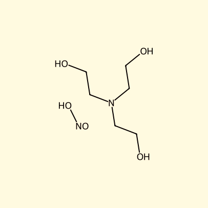 O=NO.OCCN(CCO)CCO